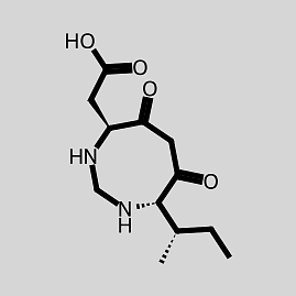 CC[C@H](C)[C@@H]1NCN[C@@H](CC(=O)O)C(=O)CC1=O